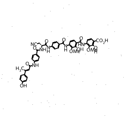 COc1c(NC(=O)c2ccc(NC(=O)c3ccc(NC(=O)[C@H](CC#N)NC(=O)c4ccc(NC(=O)/C=C(\C)c5ccc(O)cc5)cc4)cc3)c(OC)c2O)ccc(C(=O)O)c1O